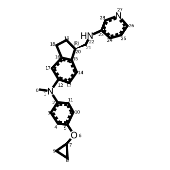 CN(c1ccc(OC2CC2)cc1)c1ccc2c(c1)CC[C@H]2CNc1cccnc1